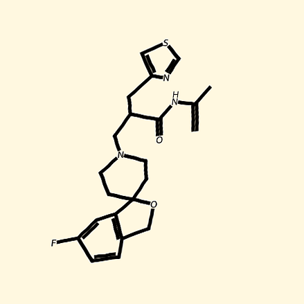 C=C(C)NC(=O)C(Cc1cscn1)CN1CCC2(CC1)OCc1ccc(F)cc12